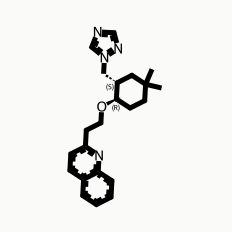 CC1(C)CC[C@@H](OCCc2ccc3ccccc3n2)[C@H](Cn2cncn2)C1